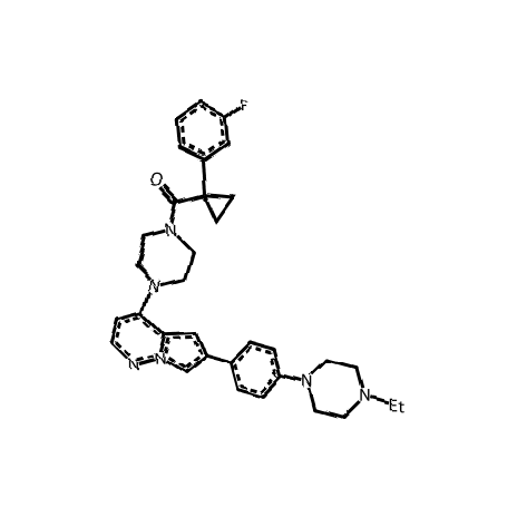 CCN1CCN(c2ccc(-c3cc4c(N5CCN(C(=O)C6(c7cccc(F)c7)CC6)CC5)ccnn4c3)cc2)CC1